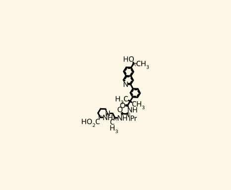 CC(C)[C@H](NC(=O)C(C)(C)c1cccc(-c2cc3cc([C@@H](C)O)ccc3cn2)c1)C(=O)N[C@@H](C)CN1CCC[C@@H](C(=O)O)N1